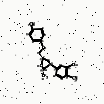 N#Cc1ccc(OC[C@@H]2CN(c3ccc(C#N)c(Cl)c3)[C@H](C(F)(F)F)O2)cc1